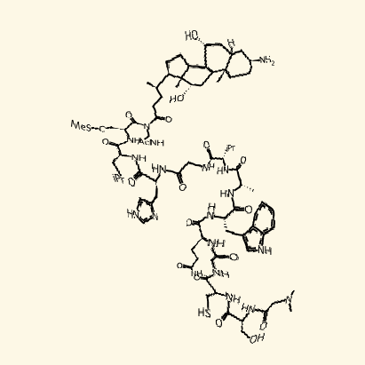 CSCC[C@H](NC(=O)[C@H](CC(C)C)NC(=O)[C@H](Cc1c[nH]cn1)NC(=O)CNC(=O)[C@@H](NC(=O)[C@H](C)NC(=O)[C@H](Cc1c[nH]c2ccccc12)NC(=O)[C@H](CCC(N)=O)NC(=O)CNC(=O)[C@H](CS)NC(=O)[C@H](CO)NC(=O)CN(C)C)C(C)C)C(=O)N(CNC(C)=O)C(=O)CC[C@@H](C)[C@H]1CCC2C3C(C[C@H](O)[C@@]21C)[C@@]1(C)CC[C@H](N)C[C@H]1C[C@H]3O